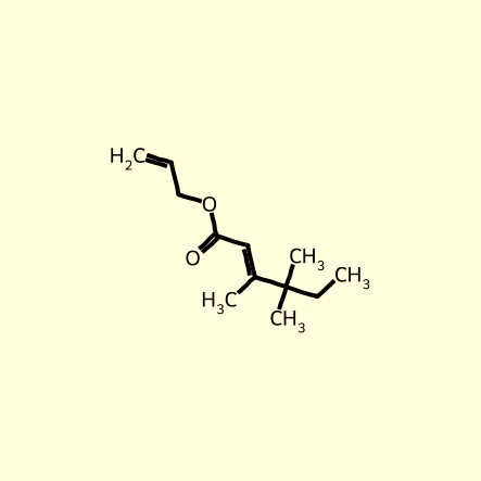 C=CCOC(=O)/C=C(\C)C(C)(C)CC